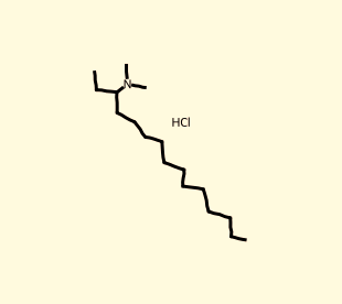 CCCCCCCCCCCCC(CC)N(C)C.Cl